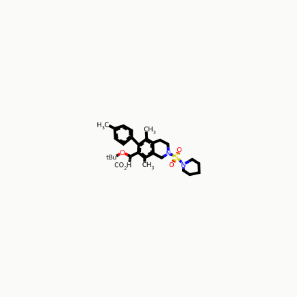 Cc1ccc(-c2c(C)c3c(c(C)c2C(OC(C)(C)C)C(=O)O)CN(S(=O)(=O)N2CCCCC2)CC3)cc1